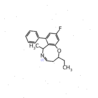 CCC1C/C=N\C(C)c2c(cc(F)cc2-c2ccccc2)O1